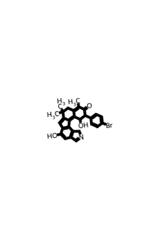 CC1=C2CC(C)(C)C3=Cc4c(O)cc5c(c4C3=C2C(O)C(c2ccc(Br)cc2)C1=O)CN=C5